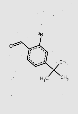 [2H]c1cc(C(C)(C)C)ccc1C=O